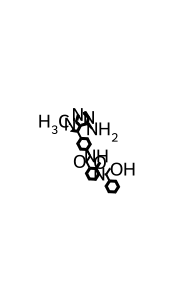 Cn1cc(-c2ccc(NC(=O)c3cccn(C(CO)c4ccccc4)c3=O)cc2)c2c(N)ncnc21